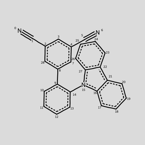 N#Cc1cc(C#N)cc(-c2ccccc2-n2c3ccccc3c3ccccc32)c1